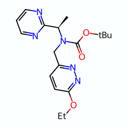 CCOc1ccc(CN(C(=O)OC(C)(C)C)[C@H](C)c2ncccn2)nn1